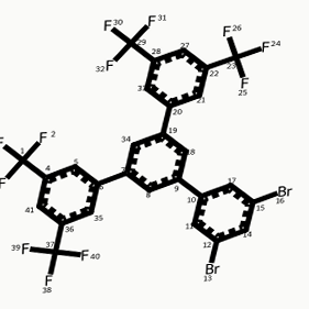 FC(F)(F)c1cc(-c2cc(-c3cc(Br)cc(Br)c3)cc(-c3cc(C(F)(F)F)cc(C(F)(F)F)c3)c2)cc(C(F)(F)F)c1